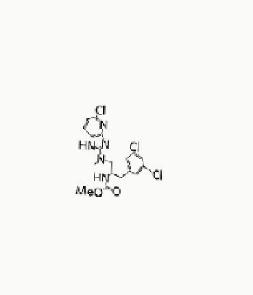 COC(=O)NC(Cc1cc(Cl)cc(Cl)c1)CN(C)c1nc2nc(Cl)ccc2[nH]1